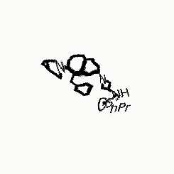 CCC[S+]([O-])NC1CN(c2ccc3c(c2)C(Cc2ccccc2)C(N2CC4CC4C2)CC3)C1